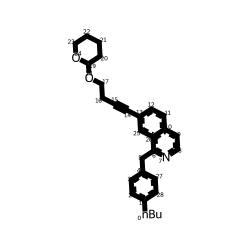 CCCCc1ccc(Cc2nccc3ccc(C#CCCOC4CCCCO4)cc23)cc1